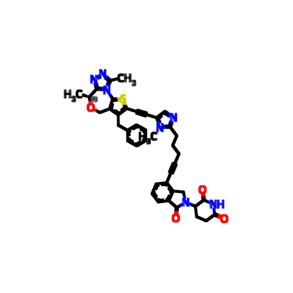 Cc1nnc2n1-c1sc(C#Cc3cnc(CCCC#Cc4cccc5c4CN(C4CCC(=O)NC4=O)C5=O)n3C)c(Cc3ccccc3)c1CO[C@H]2C